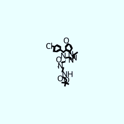 COc1ccc2c(c1)C(c1ccc(Cl)cc1)=N[C@@H](CC(=O)N(C)CCNC(=O)OC(C)(C)C)c1nnc(C)n1-2